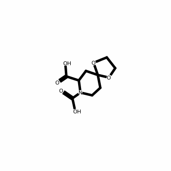 O=C(O)C1CC2(CCN1C(=O)O)OCCO2